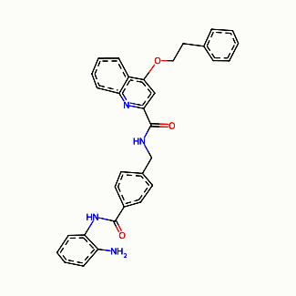 Nc1ccccc1NC(=O)c1ccc(CNC(=O)c2cc(OCCc3ccccc3)c3ccccc3n2)cc1